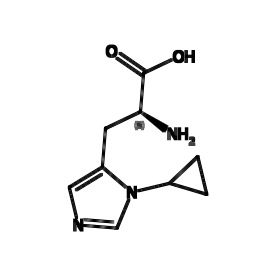 N[C@@H](Cc1cncn1C1CC1)C(=O)O